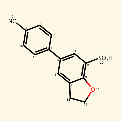 N#Cc1ccc(-c2cc3c(c(S(=O)(=O)O)c2)OCC3)cc1